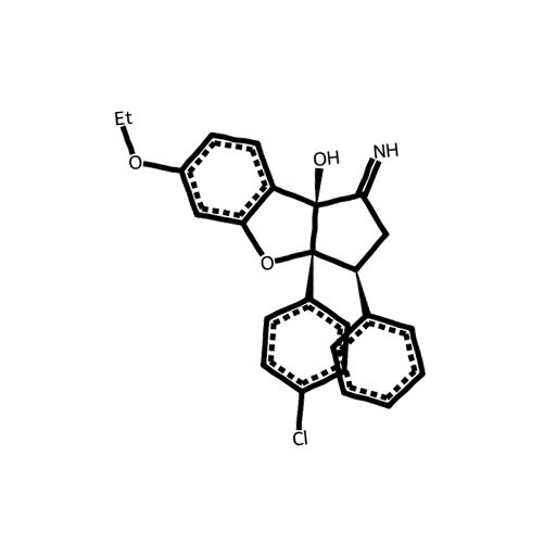 CCOc1ccc2c(c1)O[C@@]1(c3ccc(Cl)cc3)[C@H](c3ccccc3)CC(=N)[C@@]21O